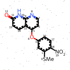 CSc1cc(Oc2ccnc3[nH]c(=O)ccc23)ccc1[N+](=O)[O-]